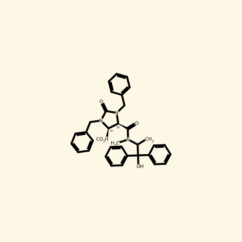 CC(N(C)C(=O)[C@H]1[C@@H](C(=O)O)N(Cc2ccccc2)C(=O)N1Cc1ccccc1)C(O)(c1ccccc1)c1ccccc1